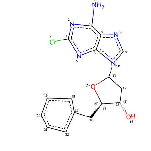 Nc1nc(Cl)nc2c1ncn2C1C[C@H](O)[C@@H](Cc2cc[c]cc2)O1